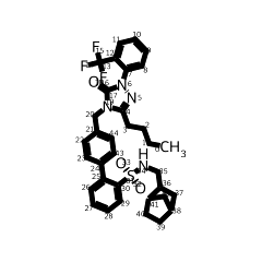 CCCCc1nn(-c2ccccc2C(F)(F)F)c(=O)n1Cc1ccc(-c2ccccc2S(=O)(=O)NCC2CC3CCC2C3)cc1